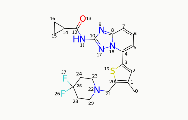 Cc1cc(-c2cccc3nc(NC(=O)C4CC4)nn23)sc1CN1CCC(F)(F)CC1